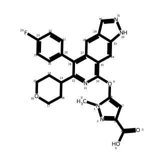 Cn1nc(C(=O)O)cc1Oc1nc(C2CCOCC2)c(-c2ccc(F)cc2)c2cc3cn[nH]c3cc12